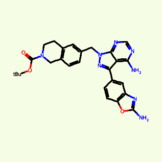 CC(C)(C)OC(=O)N1CCc2cc(Cn3nc(-c4ccc5oc(N)nc5c4)c4c(N)ncnc43)ccc2C1